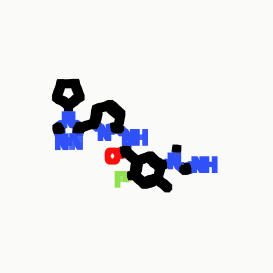 Cc1cc(F)c(C(=O)Nc2cccc(-c3nncn3C3CCCC3)n2)cc1N(C)C=N